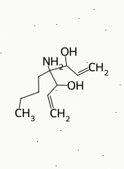 C=CC(O)C(N)(CCCC)C(O)C=C